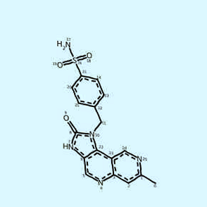 Cc1cc2ncc3[nH]c(=O)n(Cc4ccc(S(N)(=O)=O)cc4)c3c2cn1